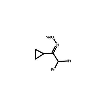 CCC(/C(=N/OC)C1CC1)C(C)C